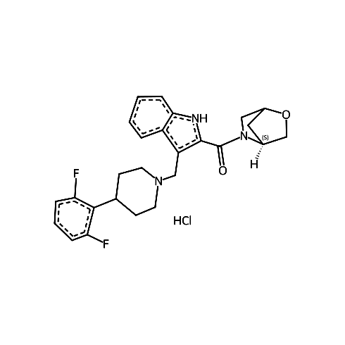 Cl.O=C(c1[nH]c2ccccc2c1CN1CCC(c2c(F)cccc2F)CC1)N1CC2C[C@H]1CO2